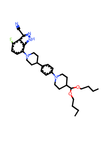 CCCCOC(OCCCC)C1CCN(c2ccc(C3CCN(c4ccc(F)c5c(C#N)n[nH]c45)CC3)cc2)CC1